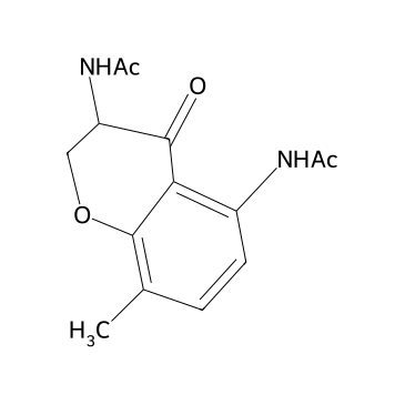 CC(=O)Nc1ccc(C)c2c1C(=O)C(NC(C)=O)CO2